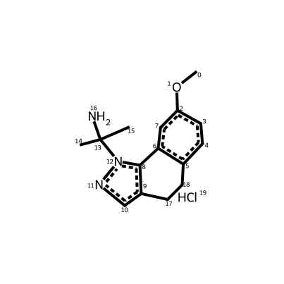 COc1ccc2c(c1)-c1c(cnn1C(C)(C)N)CC2.Cl